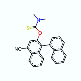 CN(C)C(=S)Oc1cc(C#N)c2ccccc2c1-c1cccc2ccccc12